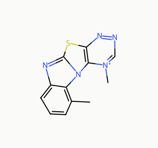 Cc1cccc2nc3sc4nnc[n+](C)c4n3c12